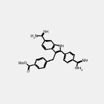 COC(=O)c1ccc(Cc2c(-c3ccc(C(=N)N)cc3)[nH]c3cc(C(=N)N)ccc23)cc1